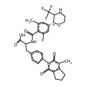 Cc1cc([C@H]2OCCNC2C(F)(F)F)cc(F)c1C(=O)NC(Cc1ccc(-n2c(=O)c3c(n(C)c2=O)CCC3)cc1)C(=O)O